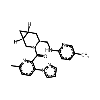 Cc1ccc(-n2cccn2)c(C(=O)N2C[C@@H]3C[C@@H]3C[C@H]2CNc2ccc(C(F)(F)F)cn2)n1